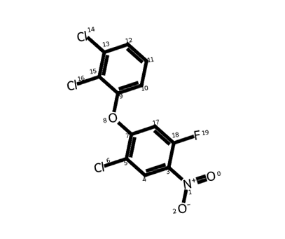 O=[N+]([O-])c1cc(Cl)c(Oc2cccc(Cl)c2Cl)cc1F